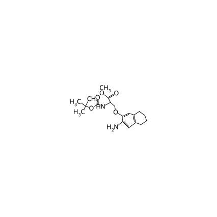 COC(=O)C(COc1cc2c(cc1N)CCCC2)NC(=O)OC(C)(C)C